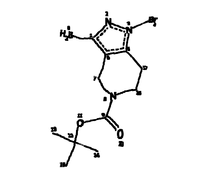 Bc1nn(Br)c2c1CN(C(=O)OC(C)(C)C)CC2